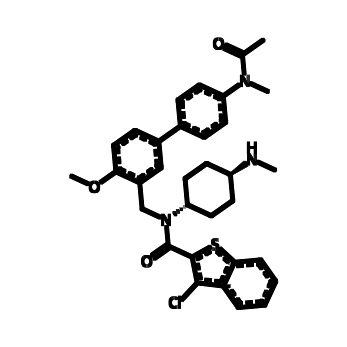 CN[C@H]1CC[C@H](N(Cc2cc(-c3ccc(N(C)C(C)=O)cc3)ccc2OC)C(=O)c2sc3ccccc3c2Cl)CC1